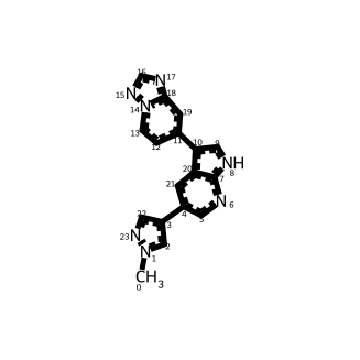 Cn1cc(-c2cnc3[nH]cc(-c4ccn5ncnc5c4)c3c2)cn1